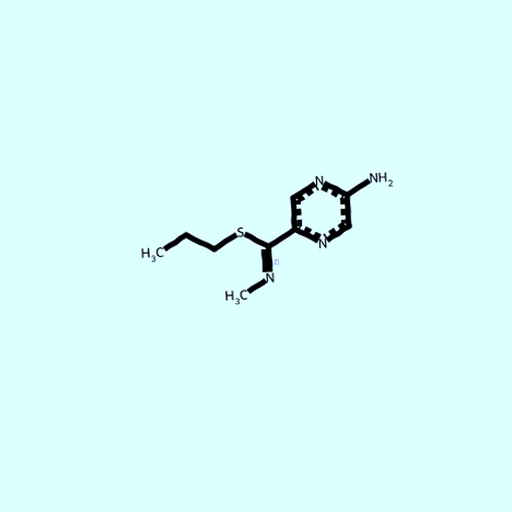 CCCS/C(=N\C)c1cnc(N)cn1